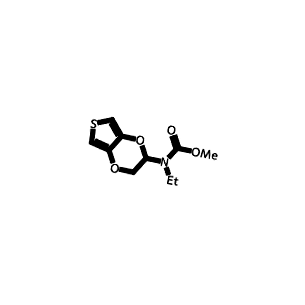 CCN(C(=O)OC)C1COc2cscc2O1